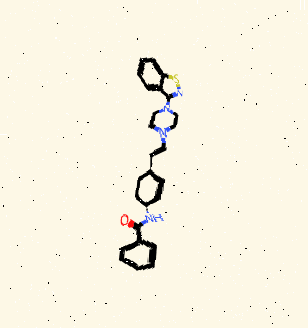 O=C(N[C@H]1CC[C@H](CCN2CCN(c3nsc4ccccc34)CC2)CC1)c1ccccc1